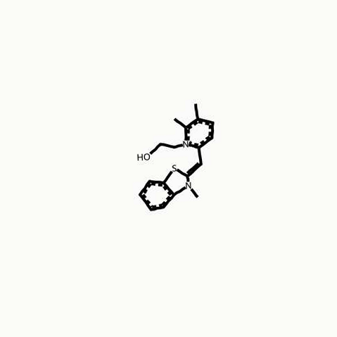 Cc1ccc(/C=C2\Sc3ccccc3N2C)[n+](CCO)c1C